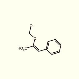 [O]COC(=Cc1ccccc1)C(=O)O